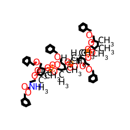 CC1[C@@H](OP(C)(=O)O[C@@H]2C(COCc3ccccc3)O[C@H](OP(C)(=O)O[C@@H]3C(COCc4ccccc4)O[C@H](OP(C)(=O)O[C@@H]4C(COCc5ccccc5)O[C@H](OCCNC(=O)OCc5ccccc5)C(C)[C@H]4C)C(C)[C@H]3C)C(C)[C@H]2C)OC(COCc2ccccc2)[C@@H](C)[C@@H]1C